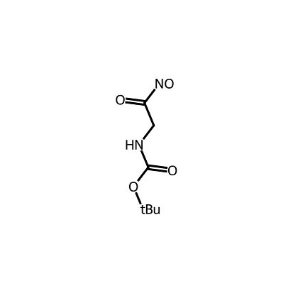 CC(C)(C)OC(=O)NCC(=O)N=O